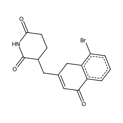 O=C1CCC(CC2=CC(=O)c3cccc(Br)c3C2)C(=O)N1